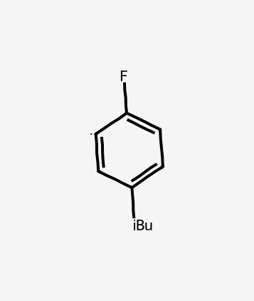 CCC(C)c1c[c]c(F)cc1